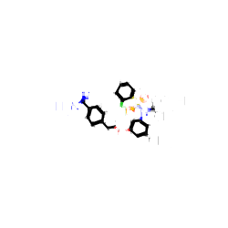 Cc1cc(OCCc2ccc(C(=N)N)cc2)cc(N(C(C)C(=O)O)S(=O)(=O)c2ccccc2Cl)c1